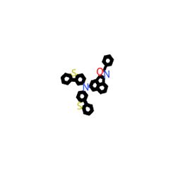 c1ccc(-c2nc3c(o2)-c2cc(N(c4ccc5sc6ccccc6c5c4)c4ccc5sc6ccccc6c5c4)cc4cccc-3c24)cc1